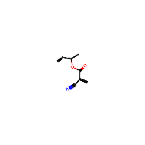 C=CC(C)OC(=O)C(=C)C#N